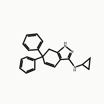 C1=CC(c2ccccc2)(c2ccccc2)Cc2[nH]nc(NC3CC3)c21